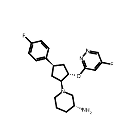 N[C@@H]1CCCN([C@H]2C[C@@H](c3ccc(F)cc3)C[C@@H]2Oc2cc(F)cnn2)C1